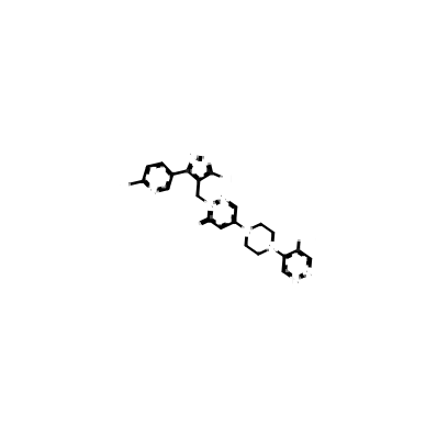 Cc1cnncc1N1CCN(c2cnn(Cc3c(-c4ccc(Cl)nc4)noc3C)c(=O)c2)CC1